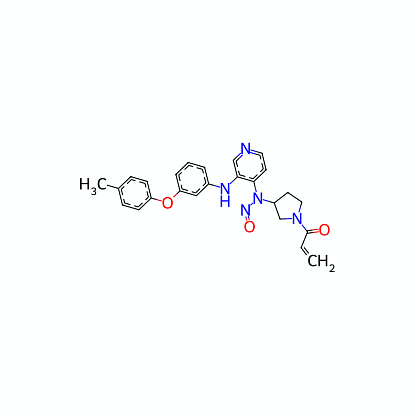 C=CC(=O)N1CCC(N(N=O)c2ccncc2Nc2cccc(Oc3ccc(C)cc3)c2)C1